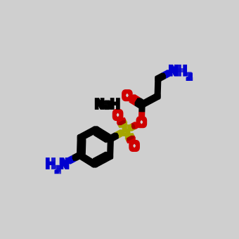 NCCC(=O)OS(=O)(=O)c1ccc(N)cc1.[NaH]